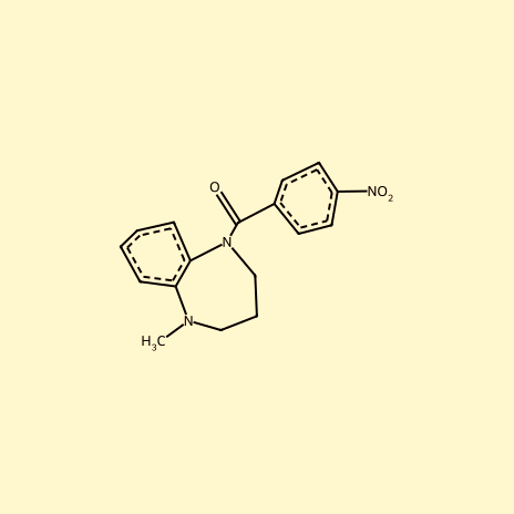 CN1CCCN(C(=O)c2ccc([N+](=O)[O-])cc2)c2ccccc21